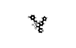 NC(=O)C(c1cccnc1)c1ccc(C2=CCCC2)nc1NCCc1cccc(F)c1